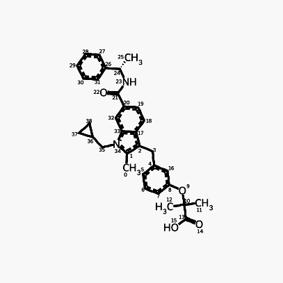 Cc1c(Cc2cccc(OC(C)(C)C(=O)O)c2)c2ccc(C(=O)N[C@@H](C)c3ccccc3)cc2n1CC1CC1